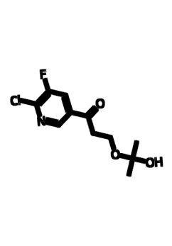 CC(C)(O)OCCC(=O)c1cnc(Cl)c(F)c1